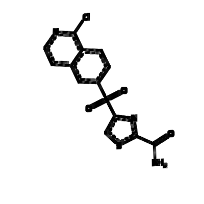 NC(=O)c1nc(S(=O)(=O)c2ccc3c(Cl)nccc3c2)cs1